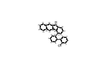 Clc1ccccc1-c1ccccc1-c1cccc2[nH]c3cc4ccccc4cc3c12